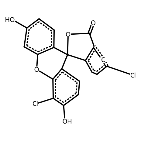 O=C1OC2(c3ccc(O)cc3Oc3c2ccc(O)c3Cl)c2ccc(Cl)cc21